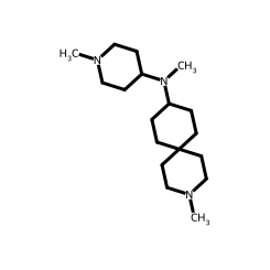 CN1CCC(N(C)C2CCC3(CC2)CCN(C)CC3)CC1